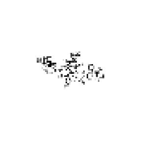 COC(CC(C)COC(=O)C(C)(C)C)C(O[Si](C)(C)C(C)(C)C)C(CC(C)CO[Si](C)(C)C(C)(C)C)OC